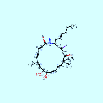 CCC/C=C/CC1CC(I)CC(=O)C(C)(C)/C=C/C=C\C(O)C(O)\C=C(C)/C=C/C=C/C(=O)N1